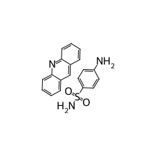 Nc1ccc(S(N)(=O)=O)cc1.c1ccc2nc3ccccc3cc2c1